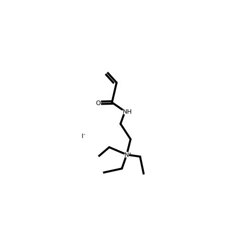 C=CC(=O)NCC[N+](CC)(CC)CC.[I-]